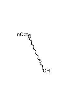 CCCCCCCCOCCCCCCCCCSCCCO